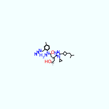 Cc1ccc(N(N)C(=O)C[C@H](C[C@H](C)O)c2nnc(C3CC(CC(C)C)C3)n2C2CC2)c(CN=[N+]=[N-])c1